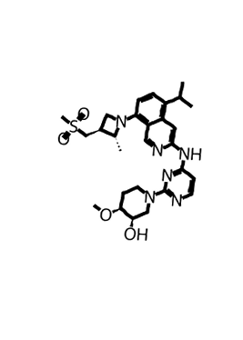 CO[C@H]1CCN(c2nccc(Nc3cc4c(C(C)C)ccc(N5C[C@H](CS(C)(=O)=O)[C@H]5C)c4cn3)n2)C[C@H]1O